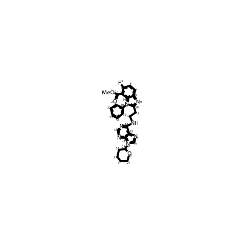 COC(=O)c1c(F)ccc2nc(CCNc3ncnc4c3ncn4C3CCCCO3)n(-c3ccccc3)c12